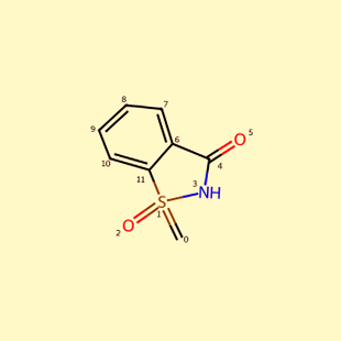 C=S1(=O)NC(=O)c2ccccc21